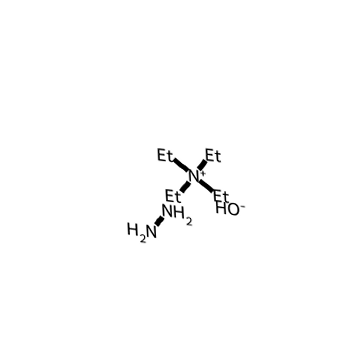 CC[N+](CC)(CC)CC.NN.[OH-]